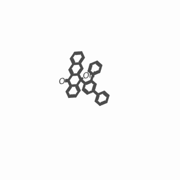 O=C1c2ccccc2C(O)(c2ccc(-c3ccccc3)cc2-c2ccccc2)c2cc3ccccc3cc21